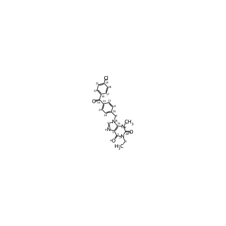 CCn1c(=O)c2ncn(Cc3ccc(C(=O)c4ccc(Cl)cc4)cc3)c2n(C)c1=O